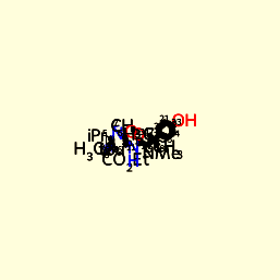 CCOC(=O)/C(C)=C/[C@H](C(C)C)N(C)C(=O)C(NC(=O)C(NC)C(C)(C)c1ccc(O)cc1)C(C)(C)C